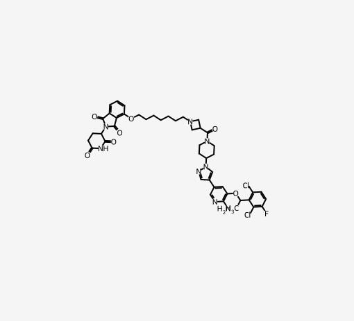 CC(Oc1cc(-c2cnn(C3CCN(C(=O)C4CN(CCCCCCCOc5cccc6c5C(=O)N(C5CCC(=O)NC5=O)C6=O)C4)CC3)c2)cnc1N)c1c(Cl)ccc(F)c1Cl